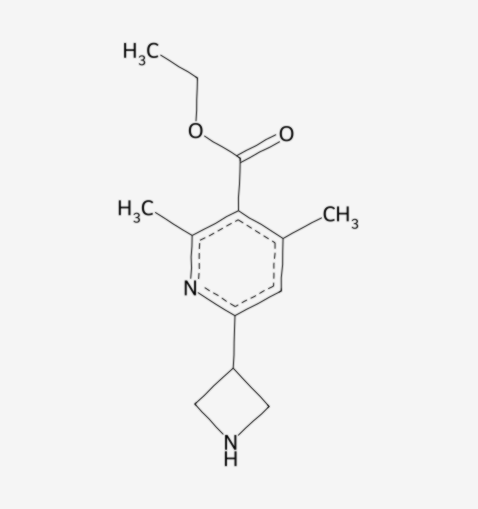 CCOC(=O)c1c(C)cc(C2CNC2)nc1C